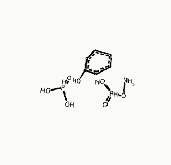 NO[PH](=O)O.O=[PH](O)O.Oc1ccccc1